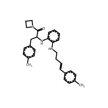 Cc1ccc(/C=C/CCNc2ccccc2NC(Cc2ccc(C)cc2)C(=O)N2CCC2)cc1